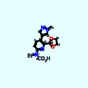 CCN(C(=O)O)c1ccc(-c2cnn(C)c2)c(C2OCCO2)n1